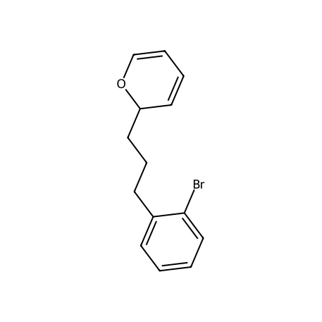 Brc1ccccc1CCCC1C=CC=CO1